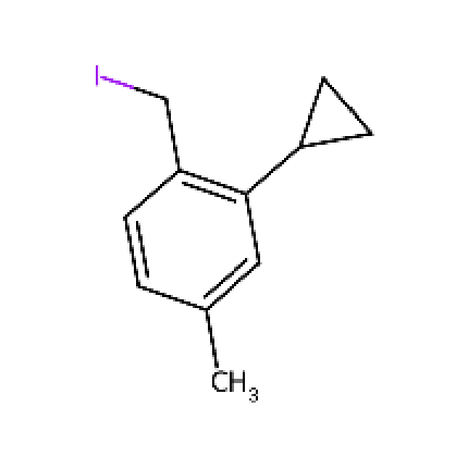 Cc1ccc(CI)c(C2CC2)c1